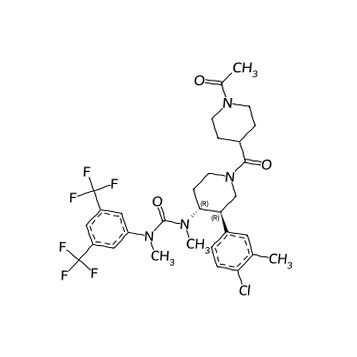 CC(=O)N1CCC(C(=O)N2CC[C@@H](N(C)C(=O)N(C)c3cc(C(F)(F)F)cc(C(F)(F)F)c3)[C@H](c3ccc(Cl)c(C)c3)C2)CC1